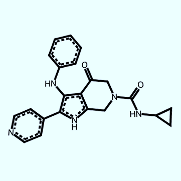 O=C1CN(C(=O)NC2CC2)Cc2[nH]c(-c3ccncc3)c(Nc3ccccc3)c21